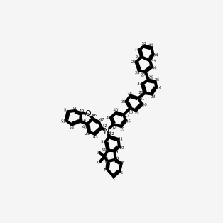 CC1(C)c2ccccc2-c2ccc(N(c3ccc(-c4ccc(-c5cccc(-c6ccc7ccccc7c6)c5)cc4)cc3)c3ccc4c(c3)oc3ccccc34)cc21